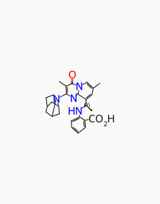 Cc1cc([C@@H](C)Nc2ccccc2C(=O)O)c2nc(N3C4CC5CC(C4)CC3C5)c(C)c(=O)n2c1